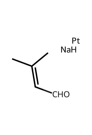 CC(C)=CC=O.[NaH].[Pt]